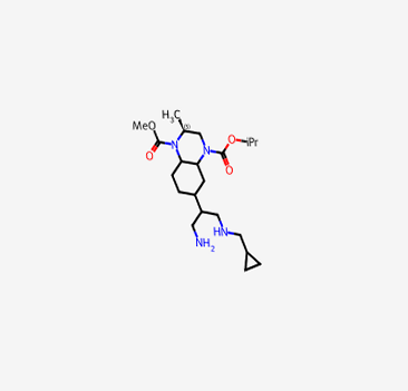 COC(=O)N1C2CCC(C(CN)CNCC3CC3)CC2N(C(=O)OC(C)C)C[C@@H]1C